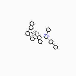 CC1(C)c2cc3ccccc3cc2-c2cccc(-c3cccc(-c4ccc(-c5cc(-c6ccc(-c7ccccc7)cc6)nc(-c6ccccc6)n5)c5ccccc45)c3)c21